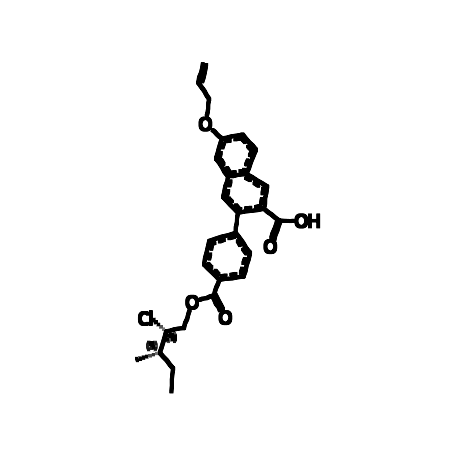 C=CCOc1ccc2cc(C(=O)O)c(-c3ccc(C(=O)OC[C@@H](Cl)[C@@H](C)CC)cc3)cc2c1